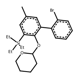 CC[Si](CC)(CC)c1cc(C)cc(-c2ccccc2Br)c1OC1CCCCO1